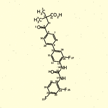 CC(C)(CC(=O)c1ccc(-c2ccc(NC(=O)Nc3ccc(F)cc3F)c(F)c2)cc1)C(=O)O